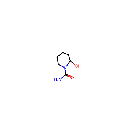 NC(=O)N1CCCCC1O